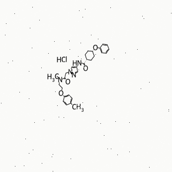 Cc1ccc(OCCN(C)C(=O)Cn2cc(NC(=O)[C@H]3CC[C@@H](Oc4ccccc4)CC3)cn2)cc1.Cl